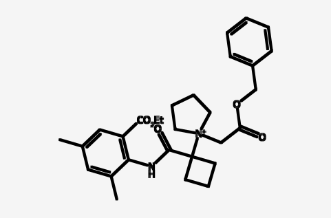 CCOC(=O)c1cc(C)cc(C)c1NC(=O)C1([N+]2(CC(=O)OCc3ccccc3)CCCC2)CCC1